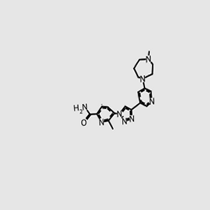 Cc1nc(C(N)=O)[c]cc1-n1cc(-c2cncc(N3CCCN(C)CC3)c2)nn1